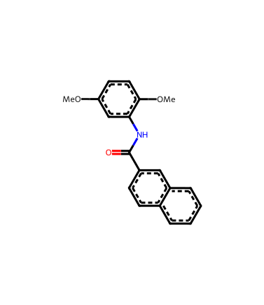 COc1ccc(OC)c(NC(=O)c2ccc3ccccc3c2)c1